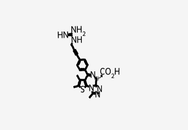 Cc1sc2c(c1C)C(c1ccc(C#CCNC(=N)N)cc1)=N[C@H](CC(=O)O)c1nnc(C)n1-2